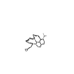 CC(C)c1ccc2ccc3c(C=O)ccc4ccc1c2c43